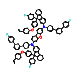 C=CC1=CCC(Oc2ccc(C3(C4C=CC(F)=CC4)C4=C(C=CCC4)c4ccc(N(c5ccc6c(c5)OC5C=C(N(C7=CCC(C8=CC=CC(c9ccc(F)cc9)C8)CC7)c7ccc8c(c7)C(C7=CC=C(F)CC7)(c7ccc(OC9=CCC(C=C)CC9)cc7)C7=C8CCCC7)C=CC65)C5C=CC(c6cccc(-c7ccc(F)cc7)c6)=CC5)cc43)cc2)C=C1